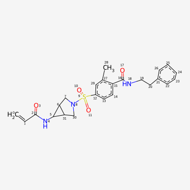 C=CC(=O)NC1C2CN(S(=O)(=O)c3ccc(C(=O)NCCc4ccccc4)c(C)c3)CC21